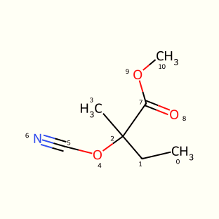 CCC(C)(OC#N)C(=O)OC